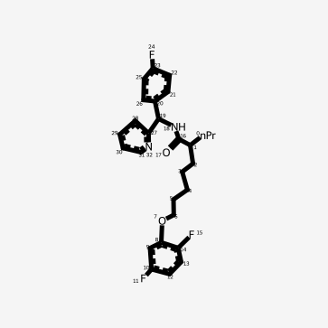 CCCC(CCCCCOc1cc(F)ccc1F)C(=O)NC(c1ccc(F)cc1)c1ccccn1